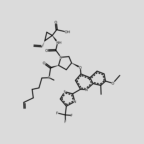 C=CCCCCN(C)C(=O)[C@@H]1C[C@H](Oc2cc(-c3nc(C(F)(F)F)cs3)nc3c(C)c(OC)ccc23)CN1C(=O)N[C@]1(C(=O)O)C[C@H]1C=C